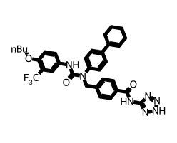 CCCCOc1ccc(NC(=O)N(Cc2ccc(C(=O)Nc3nn[nH]n3)cc2)c2ccc(C3=CCCCC3)cc2)cc1C(F)(F)F